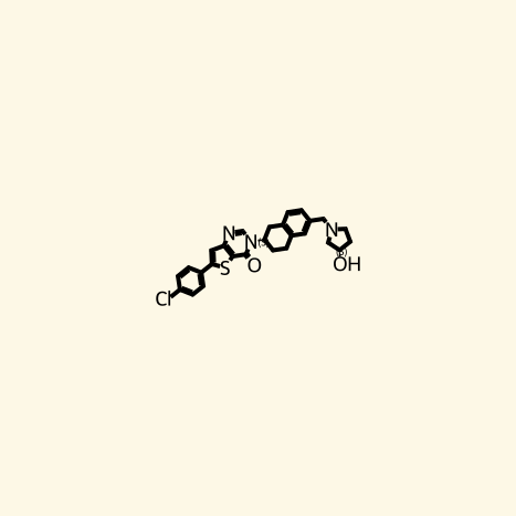 O=c1c2sc(-c3ccc(Cl)cc3)cc2ncn1[C@H]1CCc2cc(CN3CC[C@H](O)C3)ccc2C1